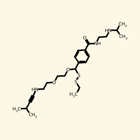 CCSSC(OCCOCCNC#CC(C)C)c1ccc(C(=O)NCCNC(C)C)cc1